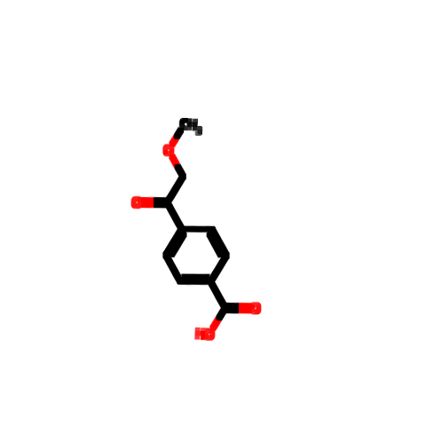 COCC(=O)c1ccc(C(=O)O)cc1